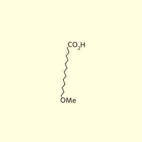 COCCCCCCCCCCCCCC(=O)O